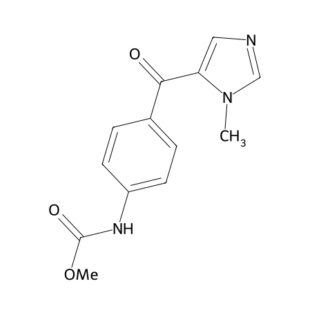 COC(=O)Nc1ccc(C(=O)c2cncn2C)cc1